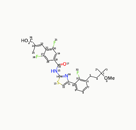 COC(C)(C)CCc1cccc(-c2csc(NC(=O)c3cc(F)c(C=C(C)C(=O)O)c(F)c3)n2)c1F